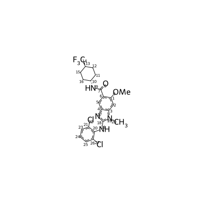 COc1cc2c(cc1C(=O)N[C@H]1CC[C@H](C(F)(F)F)CC1)nc(Nc1c(Cl)cccc1Cl)n2C